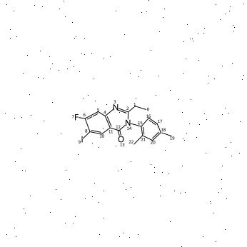 CCc1nc2cc(F)c(I)cc2c(=O)n1-c1ccc(C)cc1C